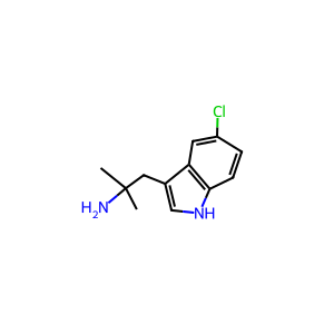 CC(C)(N)Cc1c[nH]c2ccc(Cl)cc12